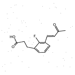 CC(=O)C=Cc1cccc(CCC(=O)O)c1F